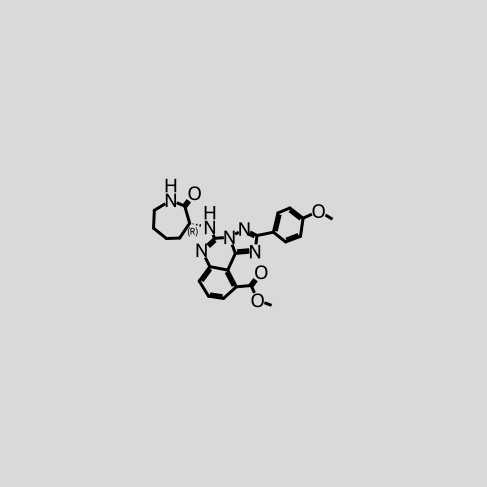 COC(=O)c1cccc2nc(N[C@@H]3CCCCNC3=O)n3nc(-c4ccc(OC)cc4)nc3c12